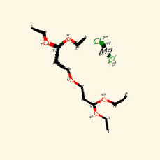 CCOC(CCOCCC(OCC)OCC)OCC.[Cl][Mg][Cl]